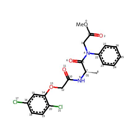 COC(=O)CN(C(=O)[C@H](C)NC(=O)COc1cc(Cl)ccc1Cl)c1ccccc1